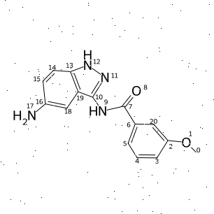 COc1cccc(C(=O)Nc2n[nH]c3ccc(N)cc23)c1